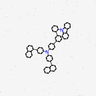 c1cc(-c2ccc(N(c3ccc(-c4cccc5ccccc45)cc3)c3ccc(-c4cccc5ccccc45)cc3)cc2)cc(-c2ccccc2-n2c3ccccc3c3ccccc32)c1